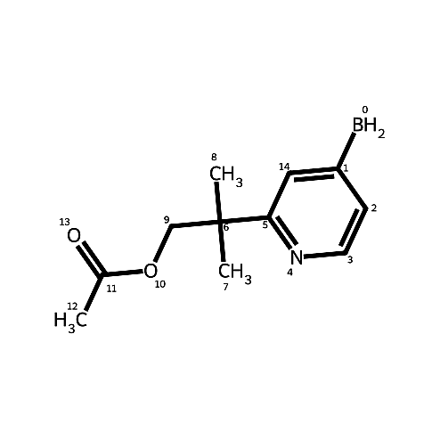 Bc1ccnc(C(C)(C)COC(C)=O)c1